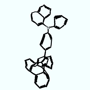 c1ccc(N(c2ccc(-c3ccc4c(c3)-c3c5cccc3-c3cccc-4c3-c3ccccc3-5)cc2)c2cccc3ccccc23)cc1